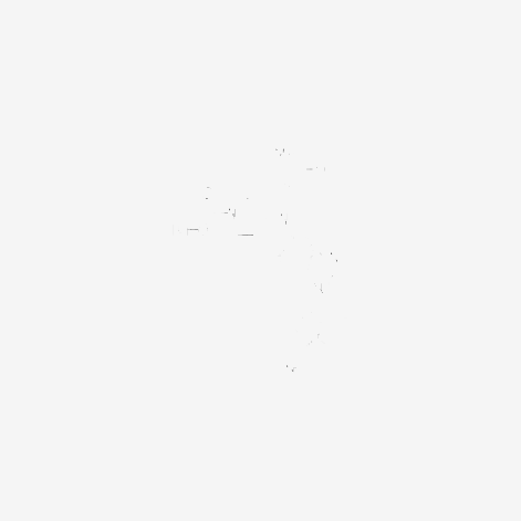 COC(=O)C(C)CN(c1ccc2c(c1)nc(C)n2-c1ccc(C#N)c2ccccc12)C1CCN(C(=O)OC(C)(C)C)CC1